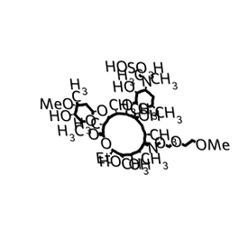 CC[C@H]1OC(=O)[C@H](C)[C@@H](O[C@H]2C[C@@](C)(OC)[C@@H](O)[C@H](C)O2)[C@H](C)[C@@H](O[C@@H]2O[C@H](C)C[C@H](N(C)C)[C@H]2O)[C@](C)(O)C[C@@H](C)/C(=N\OCOCCOC)[C@H](C)[C@@H](O)[C@]1(C)O.O=S(=O)(O)O